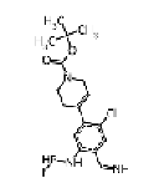 CC(C)(C)OC(=O)N1CC=C(c2cc(NPI)c(C=N)cc2Cl)CC1